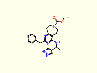 CCOC(=O)N1CCc2nc(Cc3ccccc3)nc(NC(C)c3cn[nH]c3)c2CC1